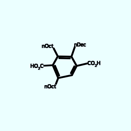 CCCCCCCCCCc1c(C(=O)O)cc(CCCCCCCC)c(C(=O)O)c1CCCCCCCC